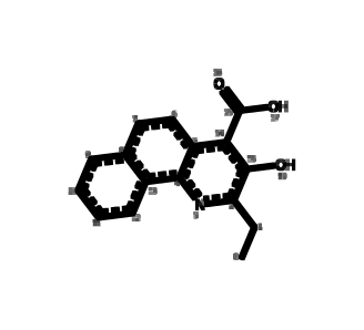 CCc1nc2c(ccc3ccccc32)c(C(=O)O)c1O